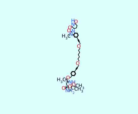 C[C@@H](OCc1ccc(C#CCOCCCCCCCOCC#Cc2ccc3c(c2)n(C)c(=O)n3C2CCC(=O)NC2=O)cc1)[C@H](CCC(N)=O)NC(=O)OC(C)(C)C